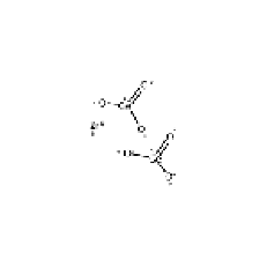 [O]=[Ge]([O-])[O-].[O]=[Ge]([O-])[O-].[Zr+4]